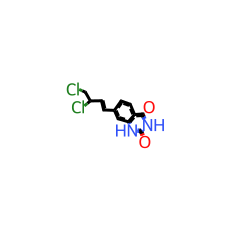 O=c1[nH]c(=O)c2ccc(C=CC(Cl)CCl)cc2[nH]1